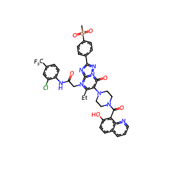 CCc1c(N2CCN(C(=O)c3c(O)ccc4cccnc34)CC2)c(=O)n2nc(-c3ccc(S(C)(=O)=O)cc3)nc2n1CC(=O)Nc1ccc(C(F)(F)F)cc1Cl